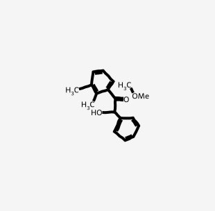 COC.Cc1cccc(C(=O)C(O)c2ccccc2)c1C